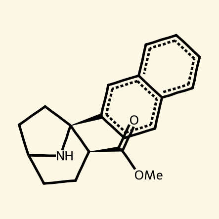 COC(=O)[C@H]1CCC2CC[C@@]1(c1ccc3ccccc3c1)N2